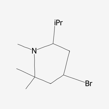 CC(C)C1CC(Br)CC(C)(C)N1C